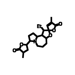 CCC1C2C(CCCN3C(C4CC(C)C(=O)O4)CCC23)OC12C=C(C)C(=O)O2